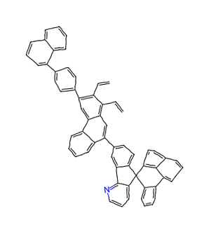 C=Cc1c(-c2ccc(-c3cccc4ccccc34)cc2)cc2c(cc(-c3ccc4c(c3)-c3ncccc3C43c4ccccc4-c4cccc5cccc3c45)c3ccccc32)c1C=C